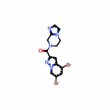 O=C(c1cc2c(Br)cc(Br)cn2n1)N1CCn2ccnc2C1